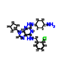 NC1CCC(Nc2nc(NCc3ccccc3Cl)c3ncn(C4CCCC4)c3n2)CC1